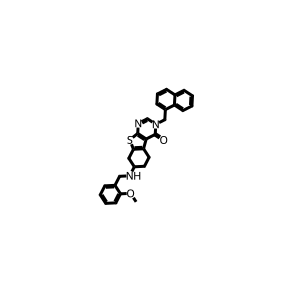 COc1ccccc1CNC1CCc2c(sc3ncn(Cc4cccc5ccccc45)c(=O)c23)C1